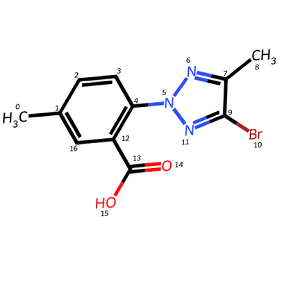 Cc1ccc(-n2nc(C)c(Br)n2)c(C(=O)O)c1